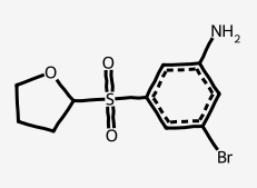 Nc1cc(Br)cc(S(=O)(=O)C2CCCO2)c1